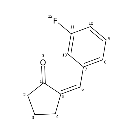 O=C1CCCC1=Cc1cccc(F)c1